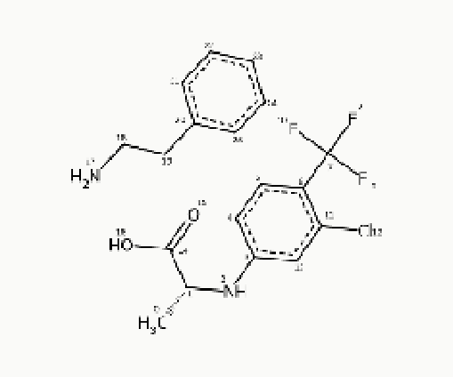 C[C@@H](Nc1ccc(C(F)(F)F)c(Cl)c1)C(=O)O.NCCc1ccccc1